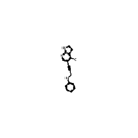 Clc1c(C#CCNc2ccccc2)cnc2[nH]ccc12